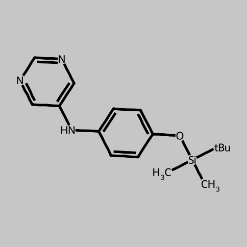 CC(C)(C)[Si](C)(C)Oc1ccc(Nc2cncnc2)cc1